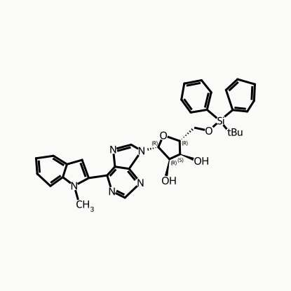 Cn1c(-c2ncnc3c2ncn3[C@@H]2O[C@H](CO[Si](c3ccccc3)(c3ccccc3)C(C)(C)C)[C@@H](O)[C@H]2O)cc2ccccc21